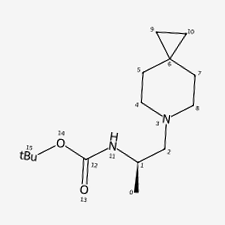 C[C@H](CN1CCC2(CC1)CC2)NC(=O)OC(C)(C)C